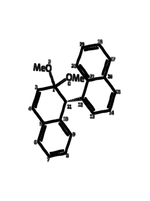 COC1(OC)C=Cc2ccccc2[C@H]1c1cccc2ccccc12